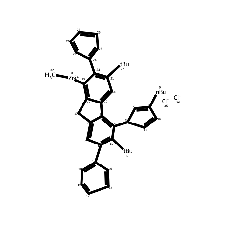 CCCCC1=CC(c2c3c(cc(-c4ccccc4)c2C(C)(C)C)Cc2c-3cc(C(C)(C)C)c(-c3ccccc3)[c]2[Zr+2][CH3])C=C1.[Cl-].[Cl-]